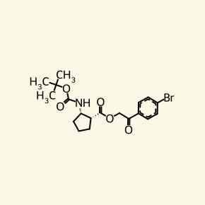 CC(C)(C)OC(=O)N[C@H]1CCC[C@H]1C(=O)OCC(=O)c1ccc(Br)cc1